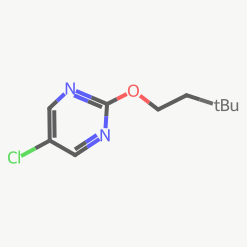 CC(C)(C)CCOc1ncc(Cl)cn1